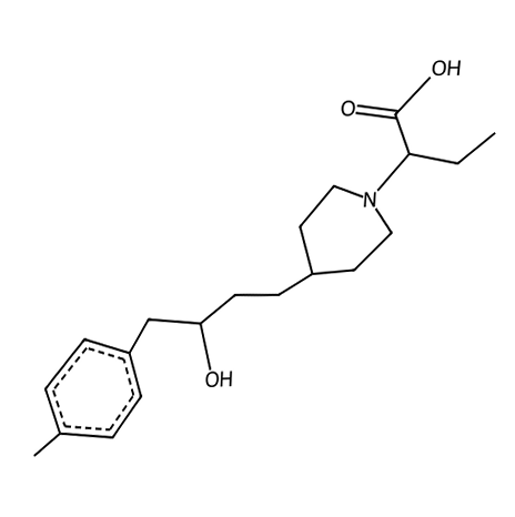 CCC(C(=O)O)N1CCC(CCC(O)Cc2ccc(C)cc2)CC1